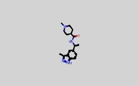 Cc1n[nH]c2ccc(C(C)NC(=O)C3CCN(C)CC3)cc12